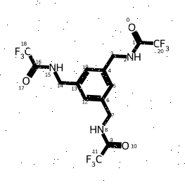 O=C(NCc1cc(CNC(=O)C(F)(F)F)cc(CNC(=O)C(F)(F)F)c1)C(F)(F)F